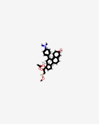 COSCC(=O)[C@@]1(OC(C)=O)CCC2C3CCC4=CC(=O)CCC4=C3C(c3ccc(N(C)C)cc3)C[C@@]21C